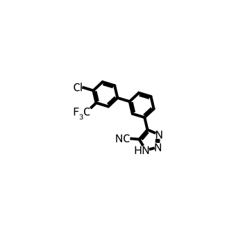 N#Cc1[nH]nnc1-c1cccc(-c2ccc(Cl)c(C(F)(F)F)c2)c1